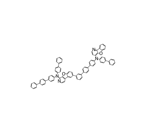 c1ccc(-c2ccc(-c3ccc(N(c4ccc(-c5ccccc5)cc4)c4nccc5c4oc4ccc(-c6cccc(-c7ccc(-c8ccc(N(c9ccc(-c%10ccccc%10)cc9)c9ccnc%10c9oc9ccccc9%10)cc8)cc7)c6)cc45)cc3)cc2)cc1